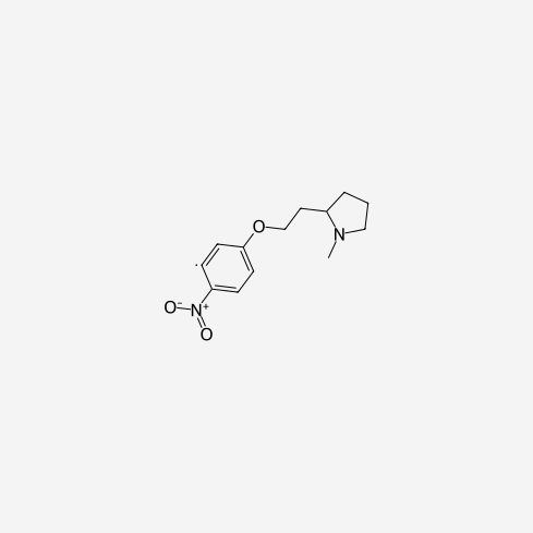 CN1CCCC1CCOc1c[c]c([N+](=O)[O-])cc1